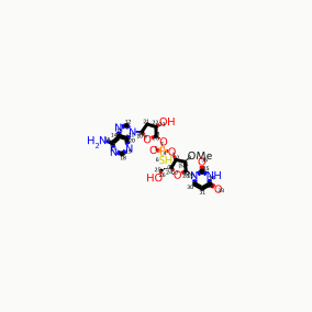 CO[C@H]1C(OP(=O)(S)O[C@H]2O[C@@H](n3cnc4c(N)ncnc43)CC2O)[C@@H](CO)O[C@H]1n1ccc(=O)[nH]c1=O